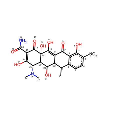 CC1c2ccc([N+](=O)[O-])c(O)c2C(=O)C2=C(O)[C@]3(O)C(=O)C(C(N)=O)=C(O)[C@@H](N(C)C)C3C(O)C21